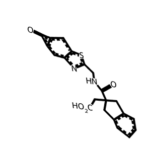 O=C(O)CC1(C(=O)NCc2nc3cc4c(=O)c4cc3s2)Cc2ccccc2C1